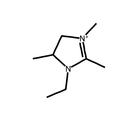 CCN1C(C)=[N+](C)CC1C